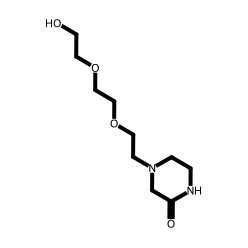 O=C1CN(CCOCCOCCO)CCN1